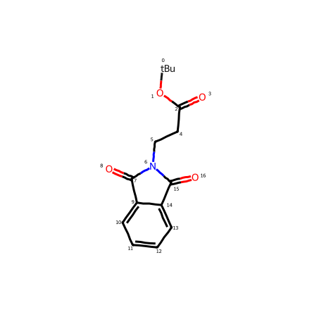 CC(C)(C)OC(=O)CCN1C(=O)c2ccccc2C1=O